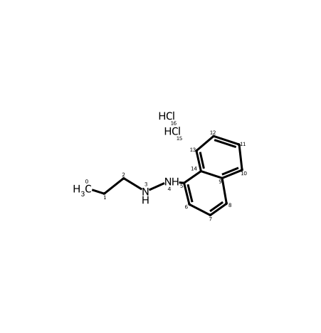 CCCNNc1cccc2ccccc12.Cl.Cl